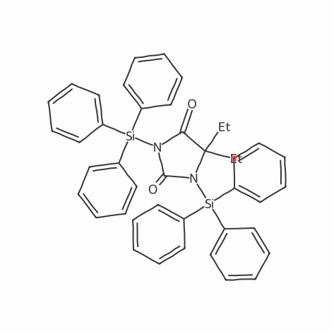 CCC1(CC)C(=O)N([Si](c2ccccc2)(c2ccccc2)c2ccccc2)C(=O)N1[Si](c1ccccc1)(c1ccccc1)c1ccccc1